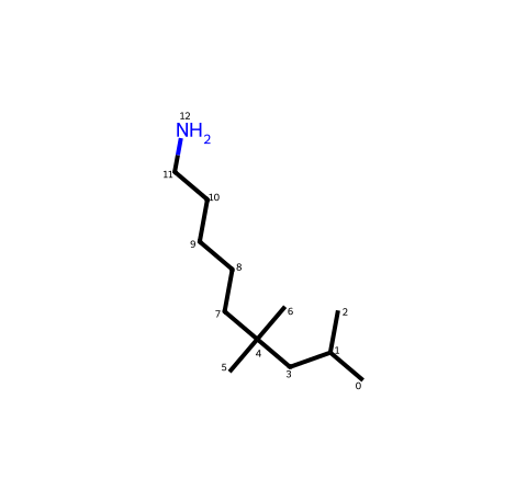 CC(C)CC(C)(C)CCCCCN